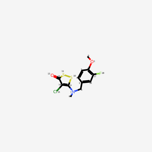 COc1ccc(CN(C)c2ssc(=O)c2Cl)cc1F